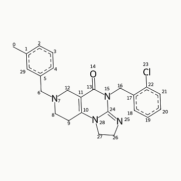 Cc1cccc(CN2CCC3=C(C2)C(=O)N(Cc2ccccc2Cl)C2=NCCN23)c1